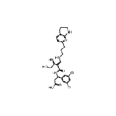 N=C(CO)/C(=C\NCCCc1ccc2c(n1)NCCC2)C(=O)NC(CC(=O)O)c1cc(Cl)cc(Cl)c1